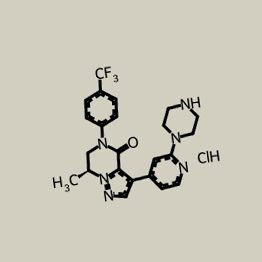 C[C@H]1CN(c2ccc(C(F)(F)F)cc2)C(=O)c2c(-c3ccnc(N4CCNCC4)c3)cnn21.Cl